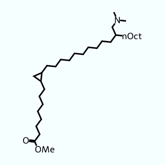 CCCCCCCCC(CCCCCCCCCCC1CC1CCCCCCCC(=O)OC)CN(C)C